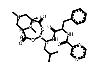 CC(C)C[C@H](NC(=O)C(Cc1ccccc1)NC(=O)c1cnccn1)B1OC(=O)[C@H]2CN(C)C[C@H](C(=O)O1)N2C